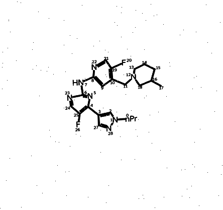 CCCn1cc(-c2nc(Nc3cc(CN4CCCC(C)C4)c(F)cn3)ncc2F)cn1